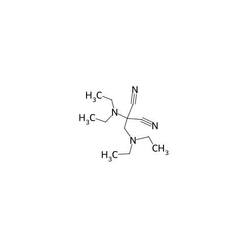 CCN(CC)CC(C#N)(C#N)N(CC)CC